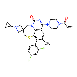 C=CC(=O)N1CCN(c2nc(=O)n3c4c(c(-c5ccc(F)cc5F)c(C(F)(F)F)cc24)SCC2(CN(C4CC4)C2)C3)CC1